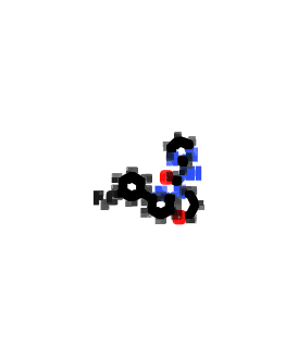 O=C(Nc1ncccn1)N1CCCOc2ccc(-c3cccc(C(F)(F)F)c3)nc21